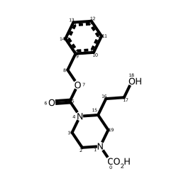 O=C(O)N1CCN(C(=O)OCc2ccccc2)C(CCO)C1